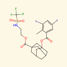 Cc1c(I)cc(I)cc1C(=O)OC12CC3CC(C1)CC(C(=O)OCCNS(=O)(=O)C(F)(F)F)(C3)C2